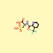 O=C(N[C@@H](CS(=O)(=O)O)C(=O)O)c1ncccc1C(F)(F)F